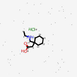 CCNCC1(CC(=O)O)CCCCC1.Cl